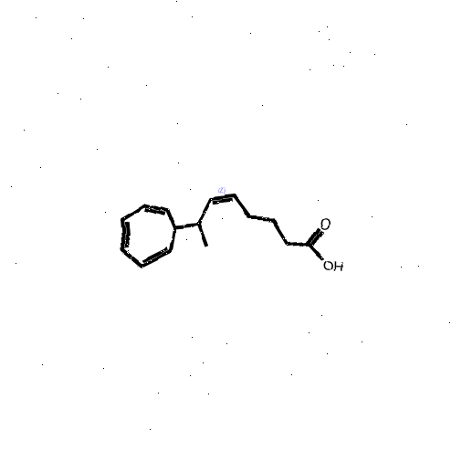 CC(/C=C\CCCC(=O)O)C1C=CC=CC=C1